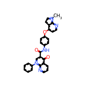 Cn1ccc2c(Oc3ccc(NC(=O)c4cn(-c5ccccc5)c5ncccc5c4=O)cc3)ccnc21